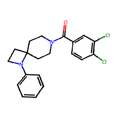 O=C(c1ccc(Cl)c(Cl)c1)N1CCC2(CC1)CCN2c1ccccc1